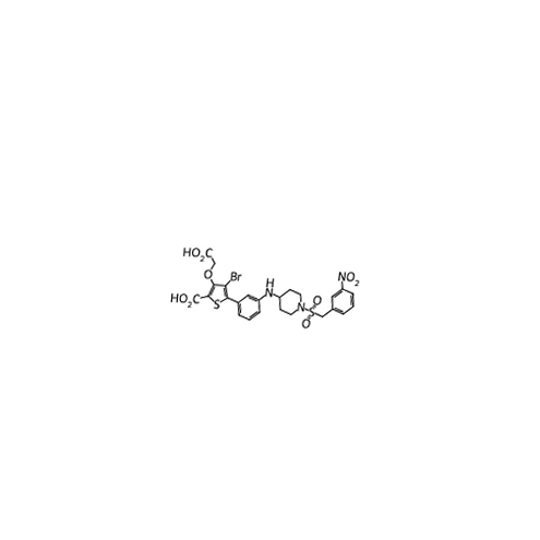 O=C(O)COc1c(C(=O)O)sc(-c2cccc(NC3CCN(S(=O)(=O)Cc4cccc([N+](=O)[O-])c4)CC3)c2)c1Br